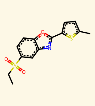 CCS(=O)(=O)c1ccc2oc(-c3ccc(C)s3)nc2c1